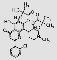 CN1CCC(c2c(OC(=O)C(C)(C)C)cc(O)c3c(=O)cc(-c4ccccc4Cl)oc23)C(OC(=O)C(C)(C)C)C1